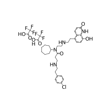 O=C(CCNCCc1ccc(Cl)cc1)N(CCNCCc1ccc(O)c2[nH]c(=O)ccc12)C1CCCCCC1.O=C(O)C(F)(F)F.O=C(O)C(F)(F)F